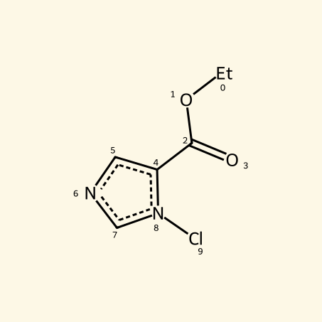 CCOC(=O)c1cncn1Cl